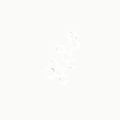 c1ccc(-c2ccccc2-c2c3ccccc3c(-c3cccc4c3oc3ccc5ccccc5c34)c3ccccc23)cc1